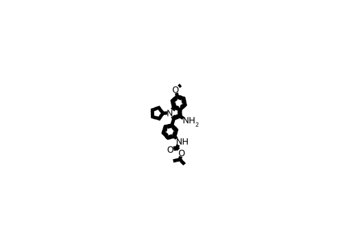 COc1ccc2c(N)c(-c3cccc(NC(=O)OC(C)C)c3)n(C3CCCC3)c2c1